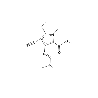 CCc1c(C#N)c(N=CN(C)C)c(C(=O)OC)n1C